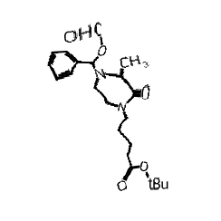 CC1C(=O)N(CCCCC(=O)OC(C)(C)C)CCN1C(OC=O)c1ccccc1